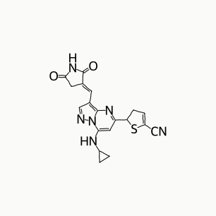 N#CC1=CCC(c2cc(NC3CC3)n3ncc(/C=C4\CC(=O)NC4=O)c3n2)S1